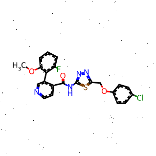 COc1cccc(F)c1-c1cnccc1C(=O)Nc1nnc(COc2ccc(Cl)cc2)s1